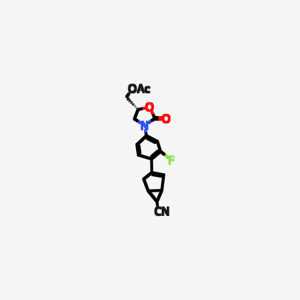 CC(=O)OC[C@H]1CN(c2ccc(C3=CC4C(C#N)C4C3)c(F)c2)C(=O)O1